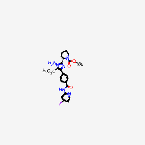 CCOC(=O)c1c(-c2ccc(C(=O)Nc3cc(I)ccn3)cc2)nc([C@@H]2CCCCN2C(=O)OC(C)(C)C)n1N